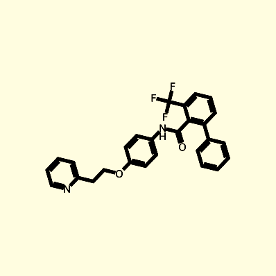 O=C(Nc1ccc(OCCc2ccccn2)cc1)c1c(-c2ccccc2)cccc1C(F)(F)F